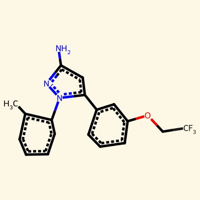 Cc1ccccc1-n1nc(N)cc1-c1cccc(OCC(F)(F)F)c1